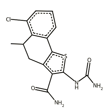 CC1Cc2c(sc(NC(N)=O)c2C(N)=O)-c2cccc(Cl)c21